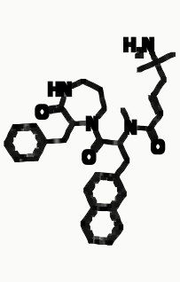 CN(C(=O)/C=C/CC(C)(C)N)C(Cc1ccc2ccccc2c1)C(=O)N1CCCNC(=O)C1Cc1ccccc1